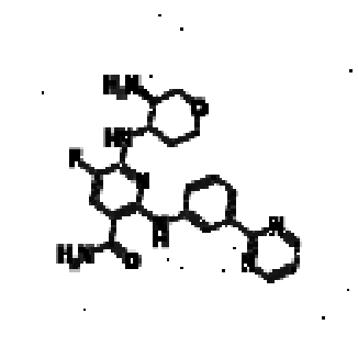 NC(=O)c1cc(F)c(NC2CCOC[C@@H]2N)nc1Nc1cccc(-c2ncccn2)c1